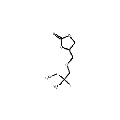 CC(F)(COCC1COC(=O)O1)OC(F)(F)F